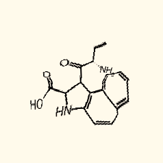 CC[C@H](N)C(=O)C1c2c(ccc3ccccc23)NC1C(=O)O